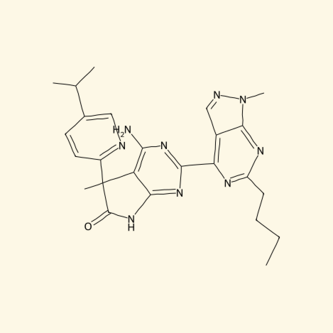 CCCCc1nc(-c2nc(N)c3c(n2)NC(=O)C3(C)c2ccc(C(C)C)cn2)c2cnn(C)c2n1